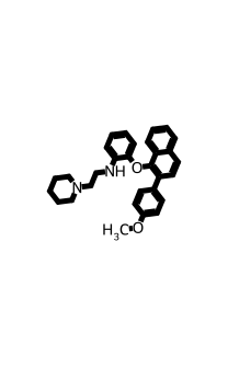 COc1ccc(-c2ccc3ccccc3c2Oc2ccccc2NCCN2CCCCC2)cc1